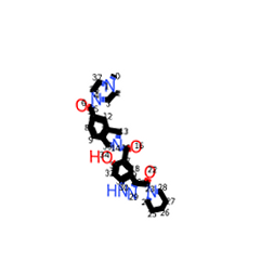 CN1CCN(C(=O)c2ccc3c(c2)CN(C(=O)c2cc4c(C(=O)N5CCCCC5)n[nH]c4cc2O)C3)CC1